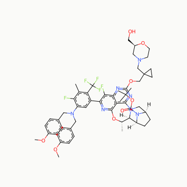 COc1ccc(CN(Cc2ccc(OC)cc2)c2cc(-c3nc4c5c(nc(OCC6(CN7CCO[C@H](CO)C7)CC6)nc5c3F)N3C[C@H]5CC[C@@H]([C@H]3[C@H](C)O4)N5C(=O)OC(C)(C)C)c(C(F)(F)F)c(C)c2F)cc1